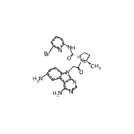 C[C@@H]1CC[C@@H](C(=O)Nc2cccc(Br)n2)N1C(=O)Cn1c2ccc(N)cc2c2c(N)ncnc21